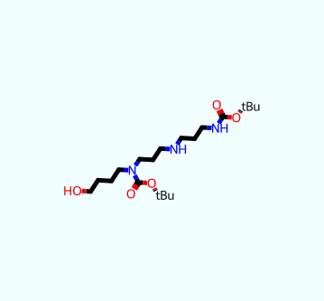 CC(C)(C)OC(=O)NCCCNCCCN(CCCCO)C(=O)OC(C)(C)C